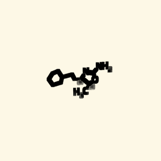 C[C@H]1OC(N)=N[C@H]1CCC1CCCCC1